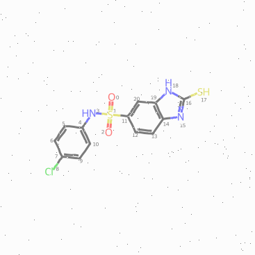 O=S(=O)(Nc1ccc(Cl)cc1)c1ccc2nc(S)[nH]c2c1